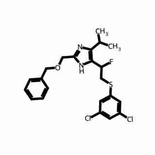 CC(C)c1nc(COCc2ccccc2)[nH]c1C(F)CSc1cc(Cl)cc(Cl)c1